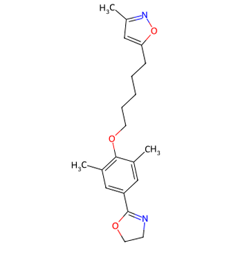 Cc1cc(CCCCCOc2c(C)cc(C3=NCCO3)cc2C)on1